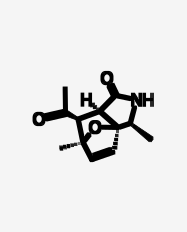 CC(=O)[C@H]1[C@H]2C(=O)N[C@@H](C)[C@]23C=C[C@]1(C)O3